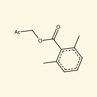 CC(=O)COC(=O)c1c(C)cccc1C